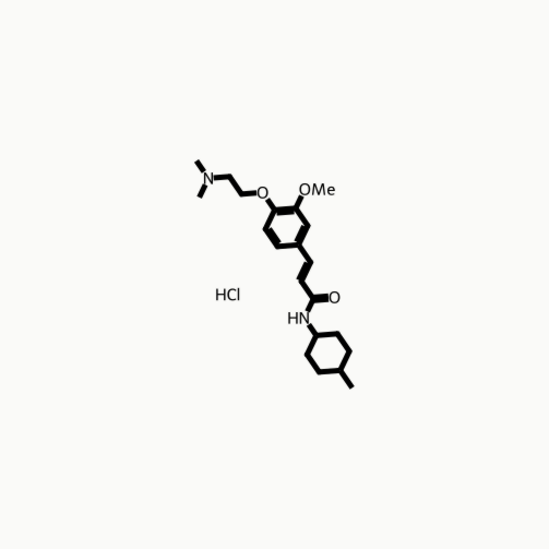 COc1cc(C=CC(=O)NC2CCC(C)CC2)ccc1OCCN(C)C.Cl